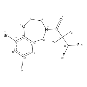 CC(C)(C(=O)N1CCOc2c(Br)cc(F)cc2C1)C(F)F